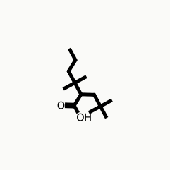 CCCC(C)(C)C(CC(C)(C)C)C(=O)O